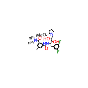 CCCN(CCC)C(=O)c1cc(C)cc(C(=O)N[C@@H](Cc2cc(F)cc(F)c2)[C@H](O)[C@H](O)CN2CCC[C@H]2COC)c1